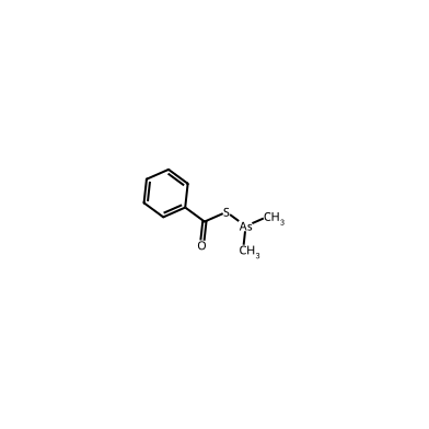 C[As](C)SC(=O)c1ccccc1